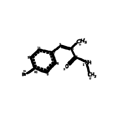 CNC(=O)C(C)=Cc1ccc(Br)cc1